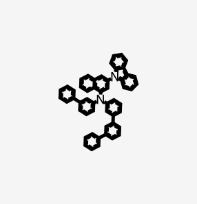 c1ccc(-c2cccc(-c3cccc(N(c4cccc(-c5ccccc5)c4)c4cc(-n5c6ccccc6c6ccccc65)cc5ccccc45)c3)c2)cc1